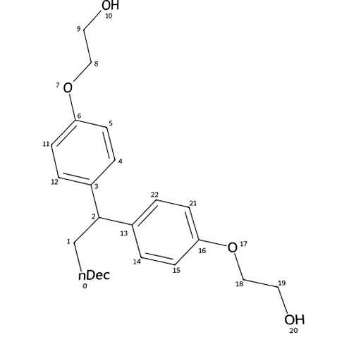 CCCCCCCCCCCC(c1ccc(OCCO)cc1)c1ccc(OCCO)cc1